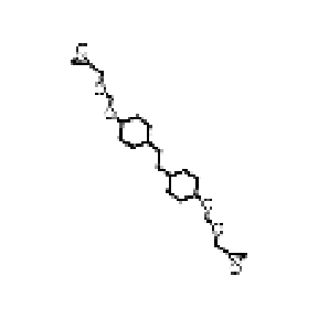 C(OCC1CO1)OC1CCC(CCC2CCC(OCOCC3CO3)CC2)CC1